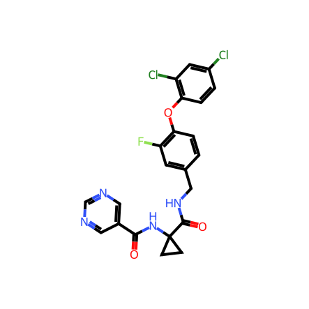 O=C(NC1(C(=O)NCc2ccc(Oc3ccc(Cl)cc3Cl)c(F)c2)CC1)c1cncnc1